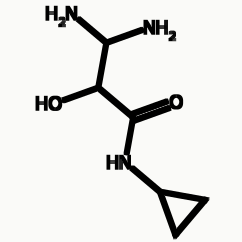 NC(N)C(O)C(=O)NC1CC1